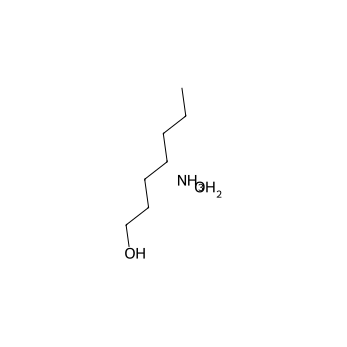 CCCCCCCO.N.O